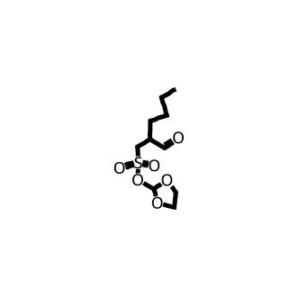 CCCCC(C=O)CS(=O)(=O)OC1OCCO1